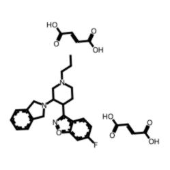 CCCN1CCC(c2noc3cc(F)ccc23)C(N2Cc3ccccc3C2)C1.O=C(O)/C=C/C(=O)O.O=C(O)/C=C/C(=O)O